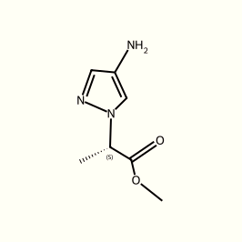 COC(=O)[C@H](C)n1cc(N)cn1